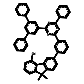 CC1(C)c2ccc(-c3cccc(-c4nc(-c5ccccc5)nc(-c5cc(-c6ccccc6)cc(-c6ccccc6)c5)n4)c3)cc2-c2c(C#N)cccc21